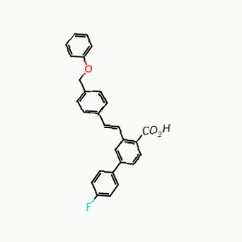 O=C(O)c1ccc(-c2ccc(F)cc2)cc1C=Cc1ccc(COc2ccccc2)cc1